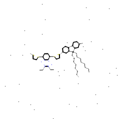 CCCCCCCCC1(CCCCCCCC)c2cc(C)ccc2-c2ccc(-c3ccc(-c4ccc(-c5ccc(C)s5)c5nc(CC)c(CC)nc45)s3)cc21